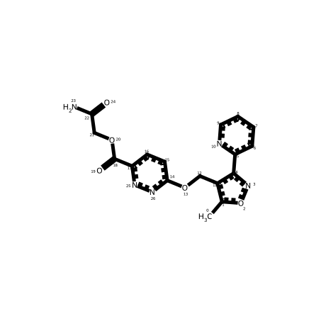 Cc1onc(-c2ccccn2)c1COc1ccc(C(=O)OCC(N)=O)nn1